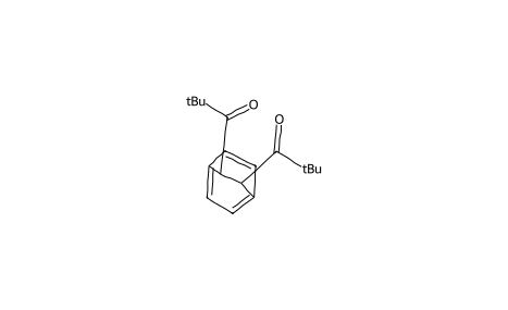 CC(C)(C)C(=O)C1c2ccc(cc2)C1C(=O)C(C)(C)C